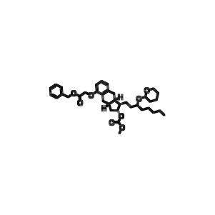 CCCCC[C@@H](CC[C@@H]1[C@H]2Cc3cccc(OCC(=O)OCc4ccccc4)c3C[C@H]2C[C@H]1OC(=O)OC)OC1CCCCO1